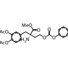 COC(=O)[C@@](N)(CCOC(=O)Oc1ccccc1)Cc1ccc(OC(C)=O)c(OC(C)=O)c1